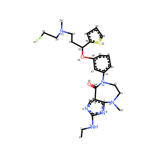 CCNc1ncc2c(n1)N(C)CCN(c1cccc(OC(CCN(C)CCF)c3cccs3)c1)C2=O